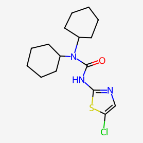 O=C(Nc1ncc(Cl)s1)N(C1CCCCC1)C1CCCCC1